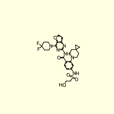 O=C(Nc1nc(N2CCC(F)(F)CC2)c2occc2n1)c1ccc(NS(=O)(=O)CCO)cc1N1CCC2(CC1)CC2